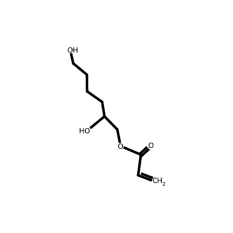 C=CC(=O)OCC(O)CCCCO